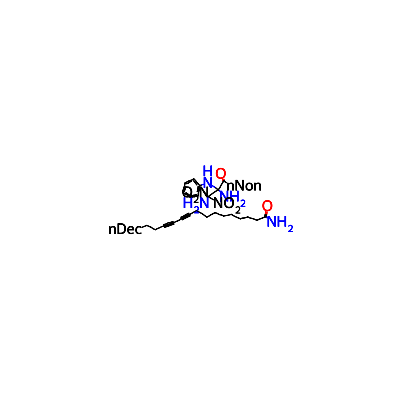 CCCCCCCCCC(=O)C(N)(Nc1ccccc1)C(N)([N+](=O)[O-])[N+](=O)[O-].CCCCCCCCCCCCC#CC#CCCCCCCCCC(N)=O